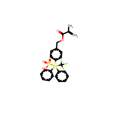 C=C(C)C(=O)OCc1ccc([SH](c2ccccc2)(c2ccccc2)(C(F)(F)F)S(=O)(=O)O)cc1